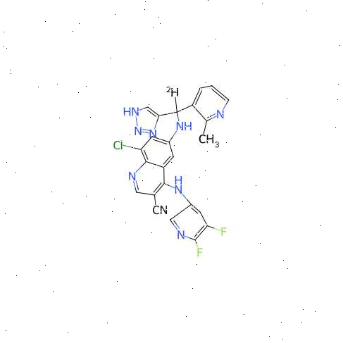 [2H]C(Nc1cc(Cl)c2ncc(C#N)c(Nc3cnc(F)c(F)c3)c2c1)(c1c[nH]nn1)c1cccnc1C